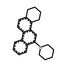 c1ccc2c(c1)c(N1CCCCC1)cc1c3c(ccc12)CCCC3